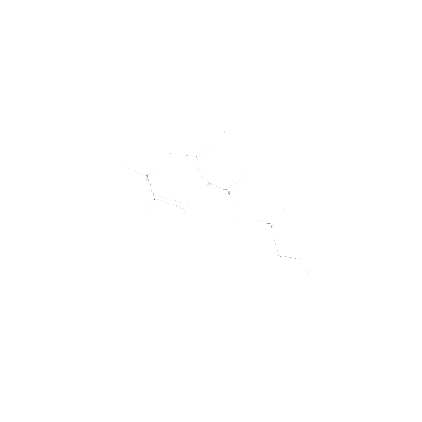 CCCC(=O)OC(=O)c1cc(F)c(F)cc1F